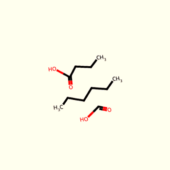 CCCC(=O)O.CCCCCC.O=CO